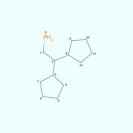 P[CH]C(C1CCCC1)C1CCCC1